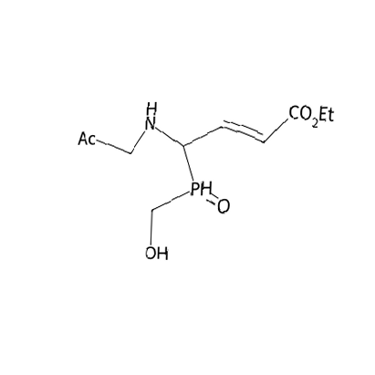 CCOC(=O)C=CC(NCC(C)=O)[PH](=O)CO